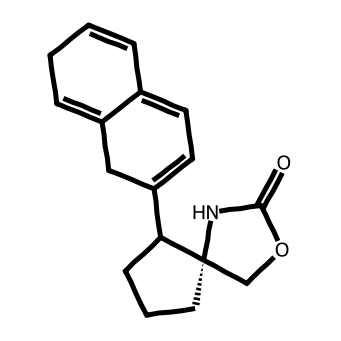 O=C1N[C@@]2(CCCC2C2=CC=C3C=CCC=C3C2)CO1